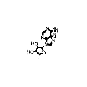 C[C@H]1O[C@@H](N2C=NC3(Cl)C(=N)N=CN=C23)[C@H](O)[C@@H]1O